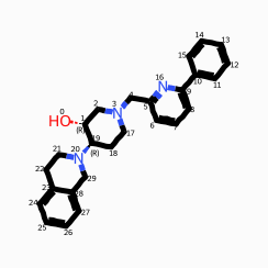 O[C@@H]1CN(Cc2cccc(-c3ccccc3)n2)CC[C@H]1N1CCc2ccccc2C1